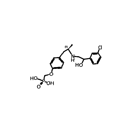 C[C@H](Cc1ccc(OCP(=O)(O)O)cc1)NCC(O)c1cccc(Cl)c1